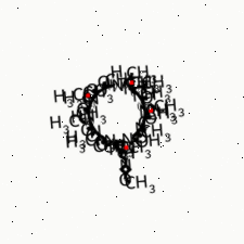 COC1CN(CC[C@@H](C)CC2C(=O)NC([C@@H](C)O)C(=O)N(C)CC(=O)N(C)[C@@H](CC(C)C)C(=O)N[C@H](CC(C)C)N(C)[C@H](CC(C)C)N[C@H](C)C(=O)OC(=O)N(C)[C@H](CC(C)C)C(=O)N[C@H](CC(C)C)C(=O)N(C)C(C(C)C)C(=O)N2C)C1